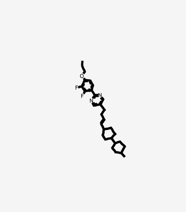 CCCOc1ccc(-c2ncc(CC/C=C/C3CCC(C4CCC(C)CC4)CC3)cn2)c(F)c1F